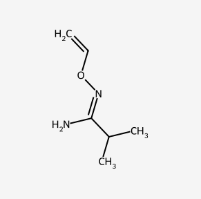 C=CO/N=C(\N)C(C)C